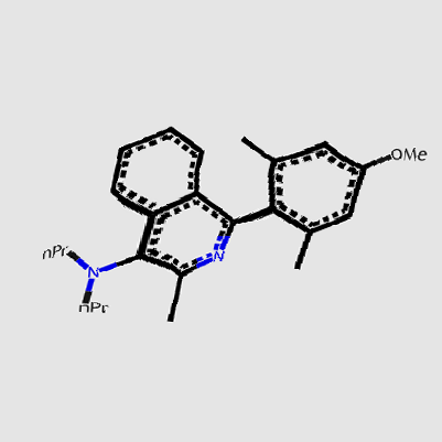 CCCN(CCC)c1c(C)nc(-c2c(C)cc(OC)cc2C)c2ccccc12